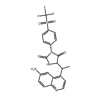 CC(c1ccnc2ccc(N)cc12)C1NC(=O)N(c2ccc(S(=O)(=O)C(F)(F)F)cc2)C1=O